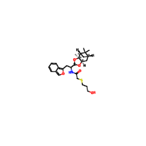 CC1(C)[C@@H]2C[C@H]3OB(C(Cc4occ5ccccc45)NC(=O)CSCCCO)O[C@@]3(C)[C@H]1C2